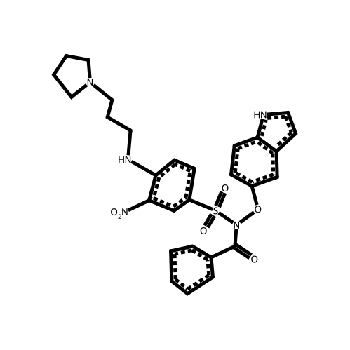 O=C(c1ccccc1)N(Oc1ccc2[nH]ccc2c1)S(=O)(=O)c1ccc(NCCCN2CCCC2)c([N+](=O)[O-])c1